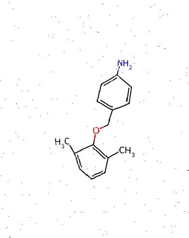 Cc1cccc(C)c1OCc1ccc(N)cc1